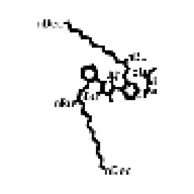 CCCCCCCCCCCCCCCCCC=CCC(CCCC)CCc1ccccc1C1=C(C)C(CCCC)=C(c2ccccc2CCC(CC=CCCCCCCCCCCCCCCCCC)CCCC)[N+]1=[N-].CC[N](C)[Ni][N](C)CC